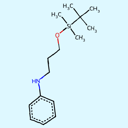 CC(C)(C)[Si](C)(C)OCCCNc1ccccc1